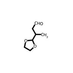 CC(CC=O)C1OCCO1